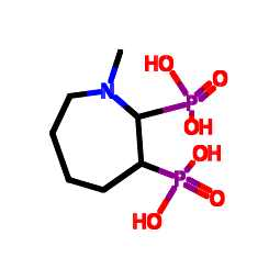 CN1CCCCC(P(=O)(O)O)C1P(=O)(O)O